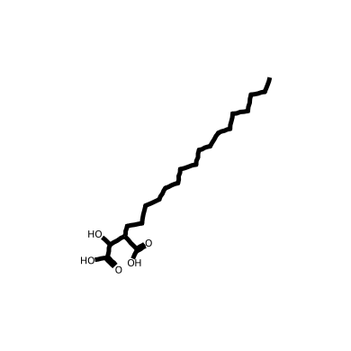 CCCCCCCCCCCCCCCCCC(C(=O)O)C(O)C(=O)O